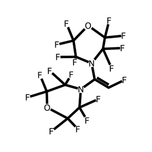 FC=C(N1C(F)(F)C(F)(F)OC(F)(F)C1(F)F)N1C(F)(F)C(F)(F)OC(F)(F)C1(F)F